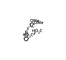 COc1ccc(/C=C/CN2Cc3ccccc3C2)cc1OC.O=C(O)/C=C\C(=O)O